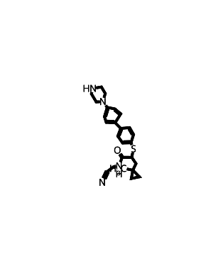 CC1(CC(Sc2ccc(-c3ccc(N4CCNCC4)cc3)cc2)C(=O)NCC#N)CC1